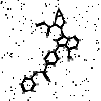 C=CC(=O)N1C2CC2C[C@H]1c1nc(-c2ccc(C(=O)Nc3ccccn3)cc2)c2c(N)nccn12